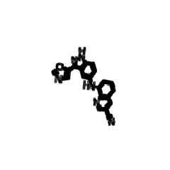 N#Cc1cnc2c(c1)CCC[C@H]2Nc1ccc2[nH]nc(-c3cnco3)c2c1